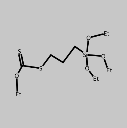 CCOC(=S)SCCC[Si](OCC)(OCC)OCC